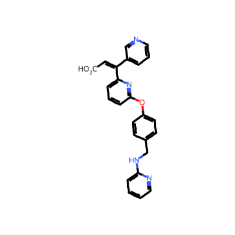 O=C(O)/C=C(/c1cccnc1)c1cccc(Oc2ccc(CNc3ccccn3)cc2)n1